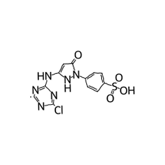 O=c1cc(Nc2n[c]nc(Cl)n2)[nH]n1-c1ccc(S(=O)(=O)O)cc1